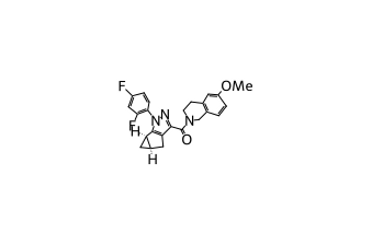 COc1ccc2c(c1)CCN(C(=O)c1nn(-c3ccc(F)cc3F)c3c1C[C@H]1C[C@@H]31)C2